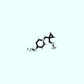 CC(C)OCC1(CN2CCC(OC(F)(F)F)CC2)CC1